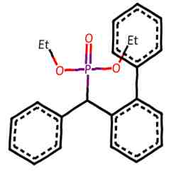 CCOP(=O)(OCC)C(c1ccccc1)c1ccccc1-c1ccccc1